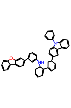 C1=CCC(Nc2cccc(-c3ccc4c(c3)oc3ccccc34)c2)C(C2=CC=CC(c3ccc4c(c3)c3ccccc3n4-c3ccccc3)C2)=C1